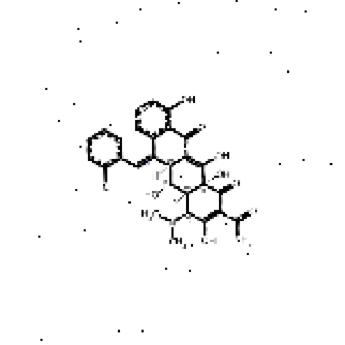 CN(C)[C@@H]1C(O)=C(C(N)=O)C(=O)[C@]2(O)C(O)=C3C(=O)c4c(O)cccc4/C(=C\c4ccccc4Cl)[C@@H]3[C@@H](O)[C@H]12